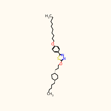 CCCCCCCCCCOc1ccc(-c2nnc(OCCC[C@H]3CC[C@H](CCCCC)CC3)s2)cc1